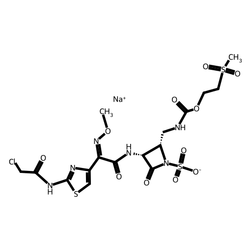 CON=C(C(=O)N[C@H]1C(=O)N(S(=O)(=O)[O-])[C@H]1CNC(=O)OCCS(C)(=O)=O)c1csc(NC(=O)CCl)n1.[Na+]